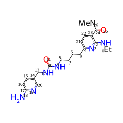 CCNc1nc(CCCCNC(=O)NCc2ccc(N)nc2)ccc1C(=O)NC